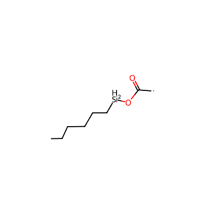 [CH2]C(=O)O[SiH2]CCCCCC